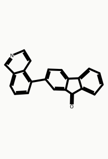 O=C1c2ccccc2-c2ccc(-c3cccc4cnccc34)cc21